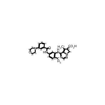 CC1=C2C(Nc3cc(NC(=O)c4cccc(N5CCOCC5)c4)ccc3C)=NC=NN2CC1C(=O)O